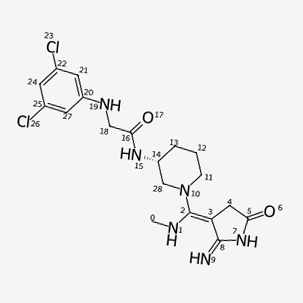 CN/C(=C1/CC(=O)NC1=N)N1CCC[C@@H](NC(=O)CNc2cc(Cl)cc(Cl)c2)C1